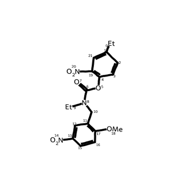 CCc1ccc(OC(=O)N(CC)Cc2cc([N+](=O)[O-])ccc2OC)c([N+](=O)[O-])c1